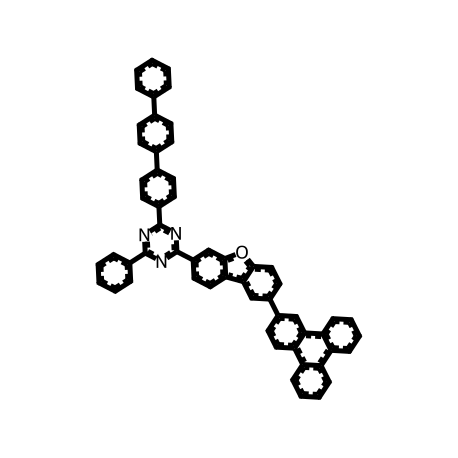 c1ccc(-c2ccc(-c3ccc(-c4nc(-c5ccccc5)nc(-c5ccc6c(c5)oc5ccc(-c7ccc8c9ccccc9c9ccccc9c8c7)cc56)n4)cc3)cc2)cc1